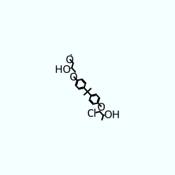 COC[C@@H](O)COc1ccc(C(C)(C)c2ccc(OC(Cl)C(C)O)cc2)cc1